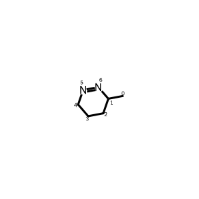 CC1CCCN=N1